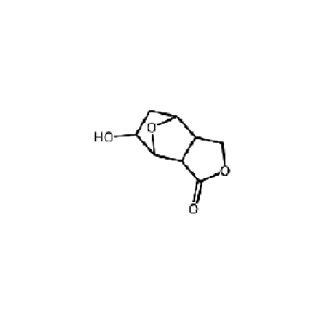 O=C1OCC2C3CC(O)C(O3)C12